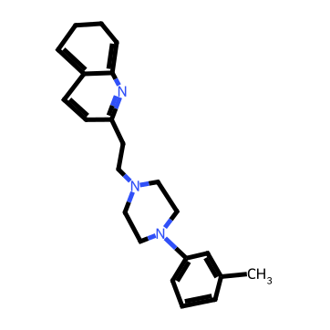 Cc1cccc(N2CCN(CCc3ccc4c(n3)=CCCC=4)CC2)c1